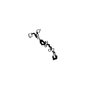 Cn1c(CCCC(=O)OCCN2CCCC2)nc2cc(N(CCCl)CCCl)ccc21